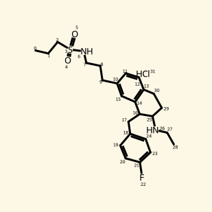 CCCS(=O)(=O)NCCCc1ccc2c(c1)C(Cc1ccc(F)cc1)C(NCC)CC2.Cl